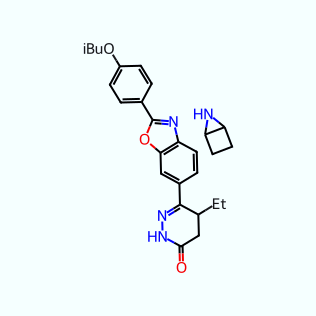 C1CC2NC12.CCC1CC(=O)NN=C1c1ccc2nc(-c3ccc(OCC(C)C)cc3)oc2c1